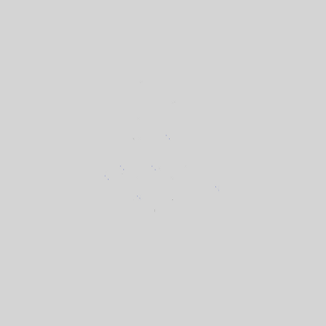 N#CCC1C=CN=C(NN)N1c1nc2ccccc2s1